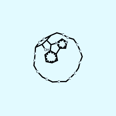 OC1C2CCCCCCCCCCCCCCCCCCCCC(CC2)C1C1c2ccccc2-c2cncn21